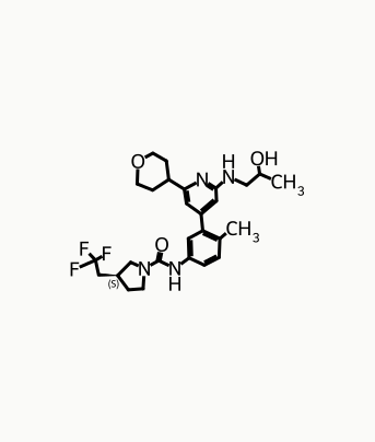 Cc1ccc(NC(=O)N2CC[C@@H](CC(F)(F)F)C2)cc1-c1cc(NCC(C)O)nc(C2CCOCC2)c1